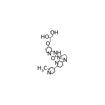 Cc1cc(-c2ccc3c(n2)N(C(=O)Nc2cc(OC[C@@H](O)CO)ccn2)C2CCN3C2)ccn1